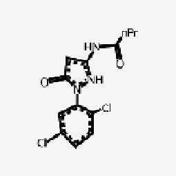 CCCC(=O)Nc1cc(=O)n(-c2cc(Cl)ccc2Cl)[nH]1